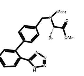 CCCCCN(Cc1ccc(-c2ccccc2-c2nnn[nH]2)cc1)[C@H](C(=O)OC)C(C)C